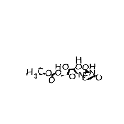 CCOC(=O)OC[C@H]1O[C@@H](n2ccc(=O)[nH]c2=O)[C@H](O)[C@@H]1O